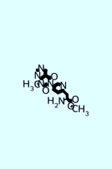 COC(=O)[C@@H](N)Cc1ccc(-n2c(=O)c3cncnc3n(C)c2=O)cn1